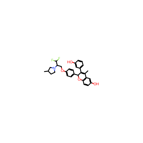 CC1=C(c2cccc(O)c2)C(c2ccc(OCC(C(F)F)N3CCC(C)C3)cc2)Oc2ccc(O)cc21